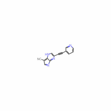 N#Cc1cnc2nc(C#Cc3cccnc3)c[nH]c1-2